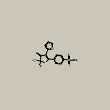 CC1(C)OC(c2ccc(S(N)(=O)=O)cc2)=C(c2ccco2)C1=O